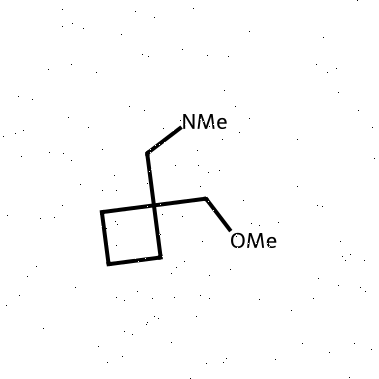 CNCC1(COC)CCC1